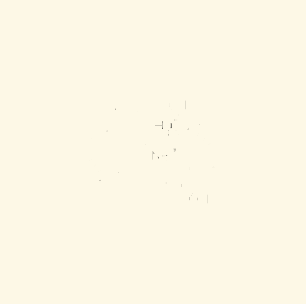 COc1ccc2ccccc2c1Nc1c(C)cccc1C(=O)O